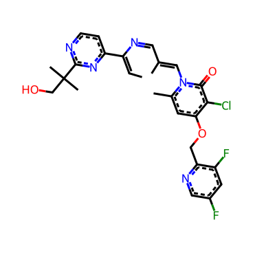 C\C=C(/N=C\C(C)=C\n1c(C)cc(OCc2ncc(F)cc2F)c(Cl)c1=O)c1ccnc(C(C)(C)CO)n1